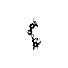 Cc1n[nH]c2ccc(-c3cncc(OC[C@@H](N)Cc4cc(F)c(F)c(F)c4)c3)cc12